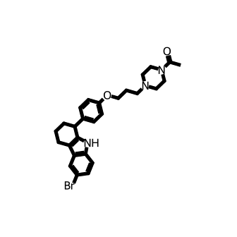 CC(=O)N1CCN(CCCOc2ccc(C3CCCc4c3[nH]c3ccc(Br)cc43)cc2)CC1